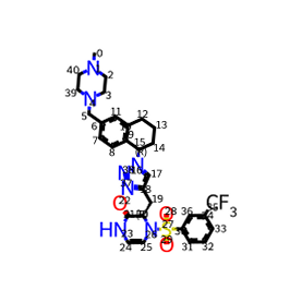 CN1CCN(Cc2ccc3c(c2)CCC[C@H]3n2cc(C[C@@H]3C(=O)NC=CN3S(=O)(=O)c3cccc(C(F)(F)F)c3)nn2)CC1